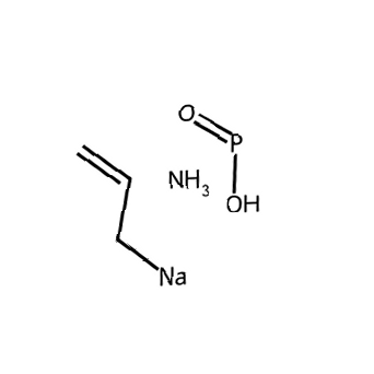 C=C[CH2][Na].N.O=PO